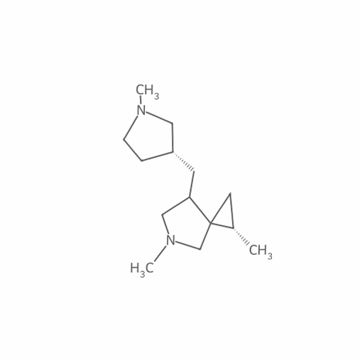 C[C@H]1CC12CN(C)CC2C[C@@H]1CCN(C)C1